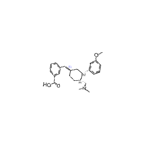 COc1cccc([C@H]2C/C(=C/c3cccc(C(=O)O)c3)CC[C@H]2CN(C)C)c1